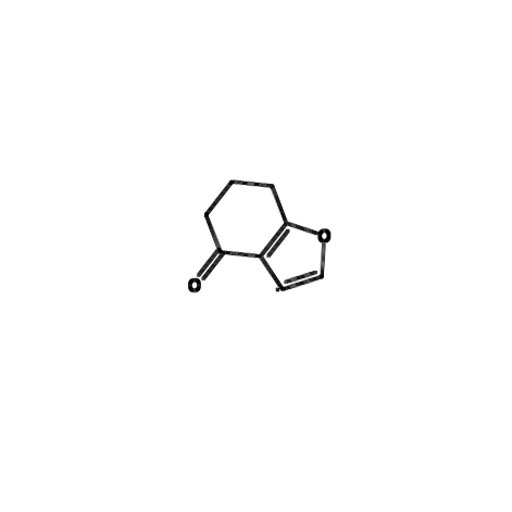 O=C1CCCc2oc[c]c21